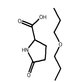 CCCOCCC.O=C1CCC(C(=O)O)N1